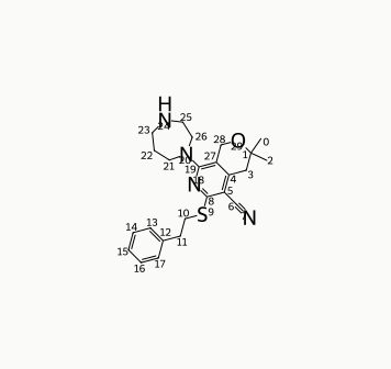 CC1(C)Cc2c(C#N)c(SCCc3ccccc3)nc(N3CCCNCC3)c2CO1